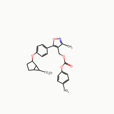 CCOC(=O)C1C2CCC(Oc3ccc(-c4onc(C)c4COC(=O)Oc4ccc([N+](=O)[O-])cc4)cc3)C21